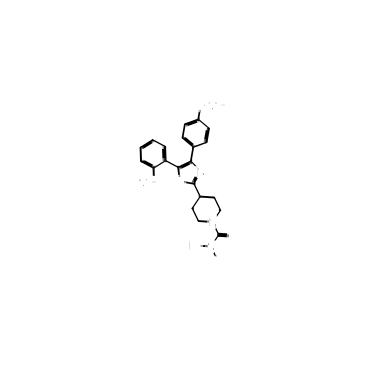 COc1ccc(-c2nc(C3CCN(C(=O)N(O)C(C)C)CC3)oc2-c2ccccc2OC)cc1